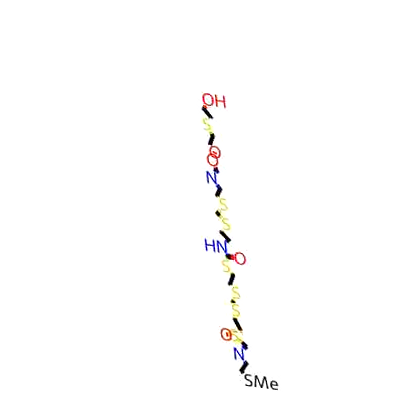 CSCC/N=C/[S+]([O-])CCSCSCCSC(=O)NCCSCSCC/N=C/OOCCSCCO